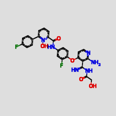 N=C(NC(=O)CO)c1c(Oc2ccc(NC(=O)c3cccc(-c4ccc(F)cc4)[n+]3O)cc2F)ccnc1N